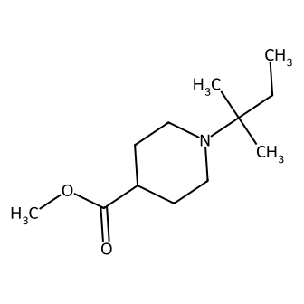 CCC(C)(C)N1CCC(C(=O)OC)CC1